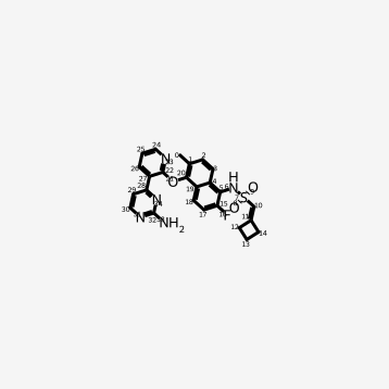 Cc1ccc2c(NS(=O)(=O)C=C3CCC3)c(F)ccc2c1Oc1ncccc1-c1ccnc(N)n1